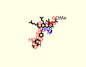 COC(=O)/C(C)=C\CC12OC(C)(C)[C@@H](C)C13Oc1c(CC=C(C)C)c4c(c(OC(=O)c5ccc(O[C@@H]6O[C@@H]7COC(C)(C)O[C@H]7[C@H](O)[C@H]6O)cc5)c1C1=C3C([C@H](C)C2=O)n2ccnc2N1)C=CC(C)(CCC=C(C)C)O4